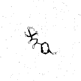 CCc1ccc(C(=O)CC(=O)C(C)(F)F)cc1